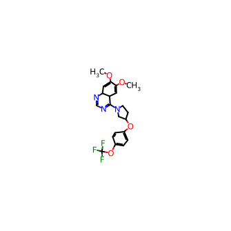 COC1=CC2N=CN=C(N3CCC(Oc4ccc(OC(F)(F)F)cc4)C3)C2C=C1OC